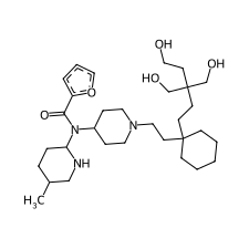 CC1CCC(N(C(=O)c2ccco2)C2CCN(CCC3(CCC(CO)(CO)CCO)CCCCC3)CC2)NC1